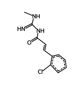 CNC(=N)NC(=O)C=Cc1ccccc1Cl